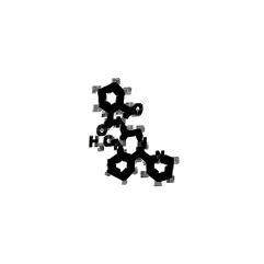 CN1c2ccccc2C(c2ccccn2)=NCC1N1C(=O)c2ccccc2C1=O